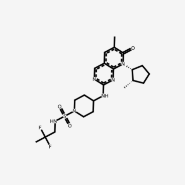 Cc1cc2cnc(NC3CCN(S(=O)(=O)NCC(C)(F)F)CC3)nc2n([C@@H]2CCC[C@@H]2C)c1=O